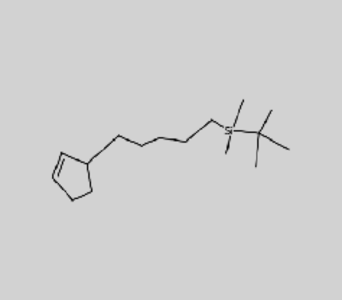 CC(C)(C)[Si](C)(C)CCCCCC1C=CCC1